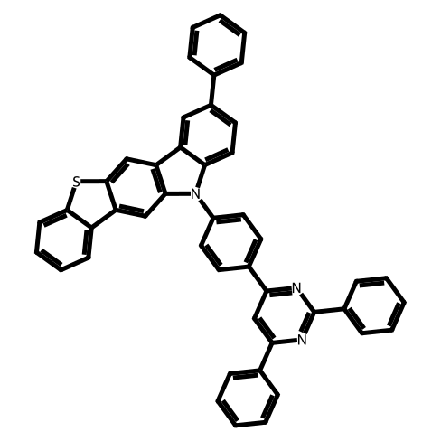 c1ccc(-c2ccc3c(c2)c2cc4sc5ccccc5c4cc2n3-c2ccc(-c3cc(-c4ccccc4)nc(-c4ccccc4)n3)cc2)cc1